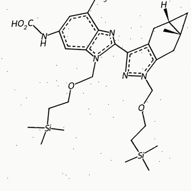 C[C@@]12Cc3c(c(-c4nc5c(C(F)(F)F)cc(NC(=O)O)cc5n4COCC[Si](C)(C)C)nn3COCC[Si](C)(C)C)C[C@@H]1C2